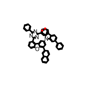 c1ccc(-c2ccc3c4ccccc4n(-c4cc(-c5ccc6ccccc6c5)c5oc6cccc(-c7nc(-c8ccccc8)nc(-c8ccccc8)n7)c6c5c4)c3c2)cc1